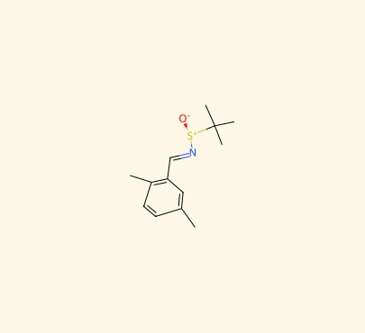 Cc1ccc(C)c(C=N[S@@+]([O-])C(C)(C)C)c1